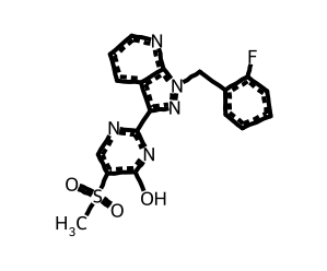 CS(=O)(=O)c1cnc(-c2nn(Cc3ccccc3F)c3ncccc23)nc1O